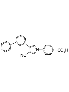 N#Cc1cn(-c2ccc(C(=O)O)cc2)cc1-c1cccc(-c2ccccc2)c1